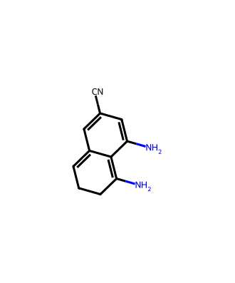 N#Cc1cc(N)c2c(c1)=CCCC=2N